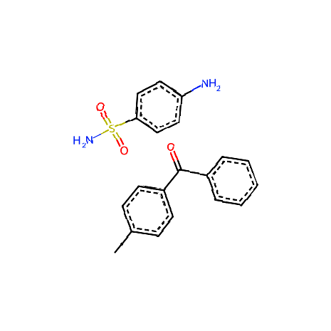 Cc1ccc(C(=O)c2ccccc2)cc1.Nc1ccc(S(N)(=O)=O)cc1